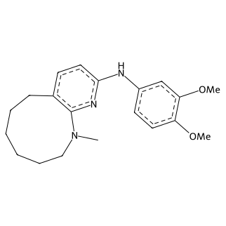 COc1ccc(Nc2ccc3c(n2)N(C)CCCCCC3)cc1OC